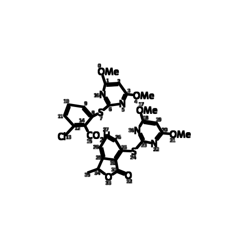 COc1cc(OC)nc(Sc2cccc(Cl)c2C(=O)O)n1.COc1cc(OC)nc(Sc2cccc3c2C(=O)OC3C)n1